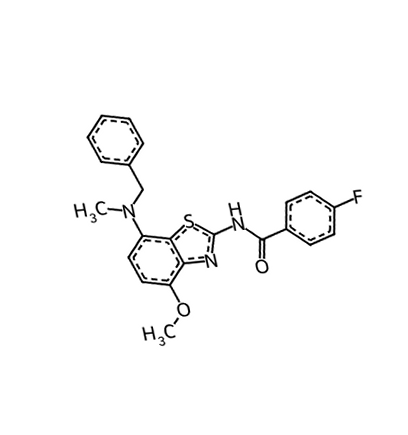 COc1ccc(N(C)Cc2ccccc2)c2sc(NC(=O)c3ccc(F)cc3)nc12